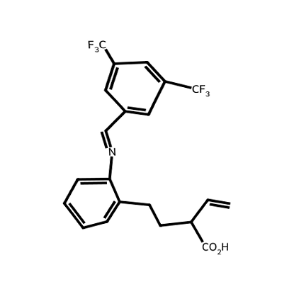 C=CC(CCc1ccccc1N=Cc1cc(C(F)(F)F)cc(C(F)(F)F)c1)C(=O)O